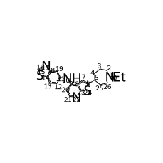 CCN1CCC[C@H](c2cc3c(Nc4ccc5scnc5c4)ccnc3s2)CC1